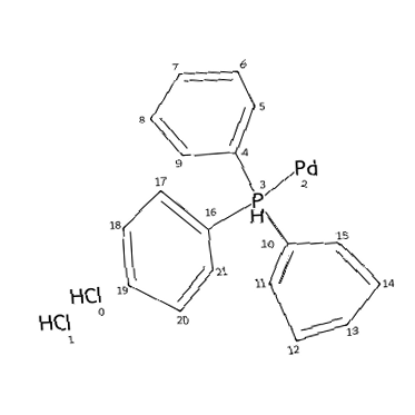 Cl.Cl.[Pd][PH](c1ccccc1)(c1ccccc1)c1ccccc1